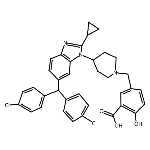 O=C(O)c1cc(CN2CCC(n3c(C4CC4)nc4ccc(C(c5ccc(Cl)cc5)c5ccc(Cl)cc5)cc43)CC2)ccc1O